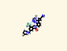 C[C@H]1CCCN(Cc2cc3c(c(C(F)(F)F)c2)CN(c2cccc(C4(c5nncn5C)CC(C#N)C4)c2)C3=O)C1